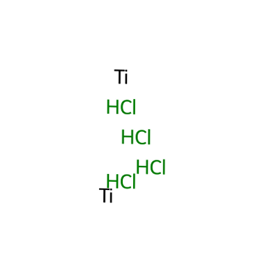 Cl.Cl.Cl.Cl.[Ti].[Ti]